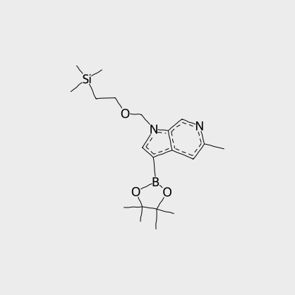 Cc1cc2c(B3OC(C)(C)C(C)(C)O3)cn(COCC[Si](C)(C)C)c2cn1